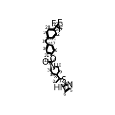 CC(Sc1ncc[nH]1)C1CCN(C(=O)Oc2ccc(Cc3ccc(C(F)(F)F)cc3)cc2)CC1